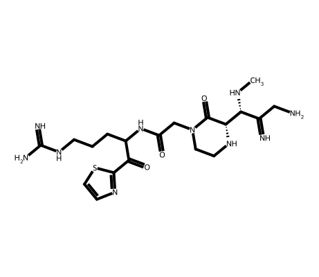 CN[C@H](C(=N)CN)[C@@H]1NCCN(CC(=O)NC(CCCNC(=N)N)C(=O)c2nccs2)C1=O